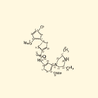 COc1ccc(Cl)cc1-c1ccc(S(=O)(=O)Nc2ccc(OC)c(N3C[C@@H](C)N[C@@H](C)C3)c2)s1